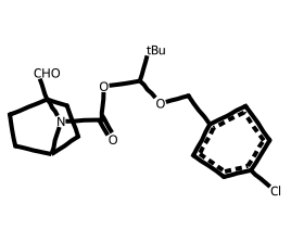 CC(C)(C)C(OCc1ccc(Cl)cc1)OC(=O)N1C2CCC1(C=O)CC2